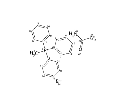 C[P+](c1ccccc1)(c1ccccc1)c1ccccc1.NC(=O)C(F)(F)F.[Br-]